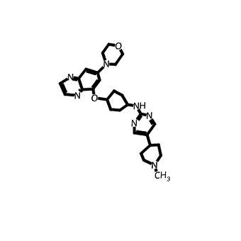 CN1CCC(c2cnc(NC3CCC(Oc4cc(N5CCOCC5)cc5nccnc45)CC3)nc2)CC1